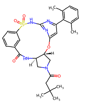 Cc1cccc(C)c1-c1cc2nc(n1)NS(=O)(=O)c1cccc(c1)C(=O)N[C@@H]1CN(C(=O)CC(C)(C)C)C[C@H]1O2